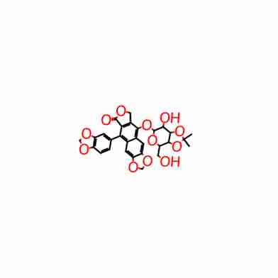 CC1(C)OC2C(CO)OC(Oc3c4c(c(-c5ccc6c(c5)OCO6)c5cc6c(cc35)OCO6)C(=O)OC4)C(O)C2O1